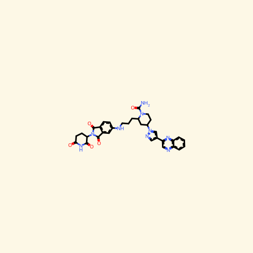 NC(=O)N1CCC(n2cc(-c3cnc4ccccc4n3)cn2)CC1CCCNc1ccc2c(c1)C(=O)N(C1CCC(=O)NC1=O)C2=O